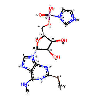 CCCSc1nc(NCC)c2ncn([C@@H]3O[C@H](COP(=O)(O)n4ccnc4)[C@@H](O)[C@H]3O)c2n1